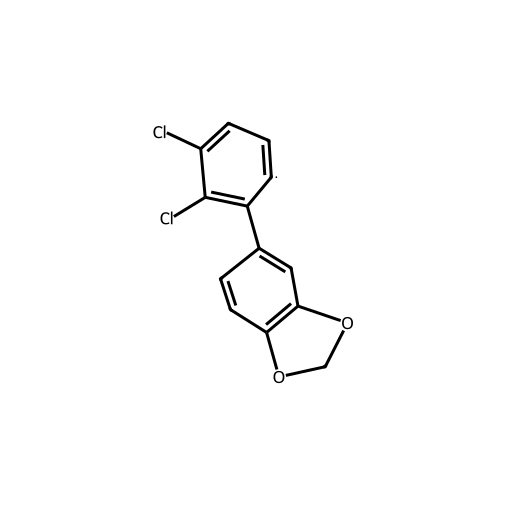 Clc1cc[c]c(-c2ccc3c(c2)OCO3)c1Cl